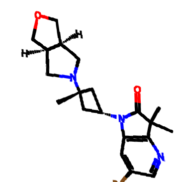 CC1(C)C(=O)N([C@H]2C[C@@](C)(N3C[C@H]4COC[C@H]4C3)C2)c2cc(Br)cnc21